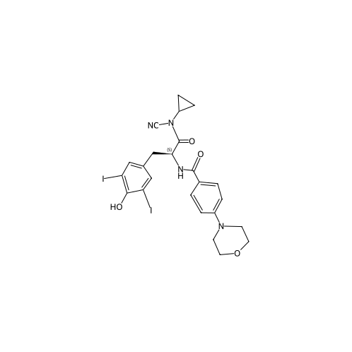 N#CN(C(=O)[C@H](Cc1cc(I)c(O)c(I)c1)NC(=O)c1ccc(N2CCOCC2)cc1)C1CC1